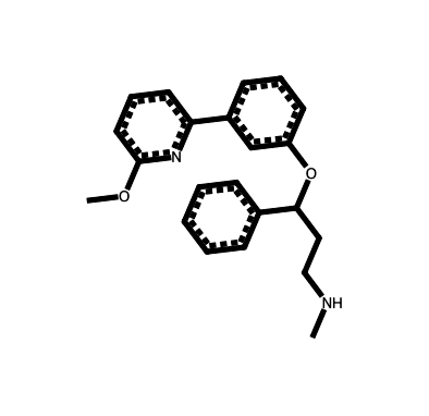 CNCCC(Oc1cccc(-c2cccc(OC)n2)c1)c1ccccc1